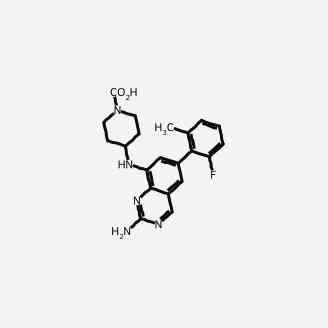 Cc1cccc(F)c1-c1cc(NC2CCN(C(=O)O)CC2)c2nc(N)ncc2c1